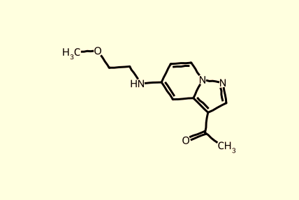 COCCNc1ccn2ncc(C(C)=O)c2c1